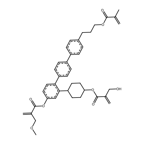 C=C(C)C(=O)OCCCc1ccc(-c2ccc(-c3ccc(OC(=O)C(=C)COC)cc3C3CCC(OC(=O)C(=C)CO)CC3)cc2)cc1